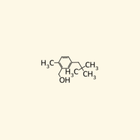 Cc1ccc(CC(C)(C)C)cc1CO